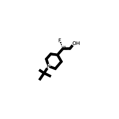 CC(C)(C)N1CCC([C@H](F)CO)CC1